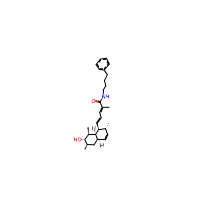 C/C(=C\C=C\[C@@H]1[C@@H]2[C@H](C)[C@@H](O)[C@H](C)C[C@@H]2C=C[C@H]1C)C(=O)NCCCCc1ccccc1